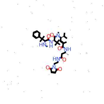 CN[C@H](C(=O)N[C@H](C(=O)N(C)[C@H](/C=C(\C)C(=O)N[C@H](C)CC(=O)NCCN1C(=O)C=CC1=O)C(C)C)C(C)(C)C)C(C)(C)c1ccccc1